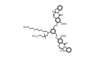 COCCOCCOCCN(CC(C)(C)SCC(=O)O)c1cc(COc2cc3c(cc2OC)C(=O)N2c4ccccc4C[C@H]2C=N3)cc(COc2cc3c(cc2OC)C(=O)N2c4ccccc4C[C@@H]2C=N3)c1